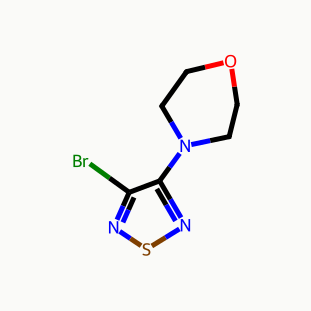 Brc1nsnc1N1CCOCC1